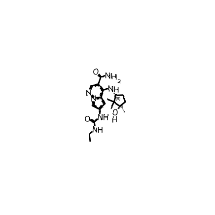 CCNC(=O)Nc1cc2c(N[C@@H]3CC[C@@](C)(O)C3(C)C)c(C(N)=O)cnn2c1